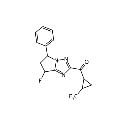 O=C(c1nc2n(n1)C(c1ccccc1)CC2F)C1CC1C(F)(F)F